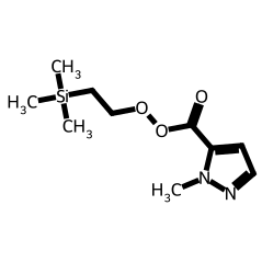 Cn1nccc1C(=O)OOCC[Si](C)(C)C